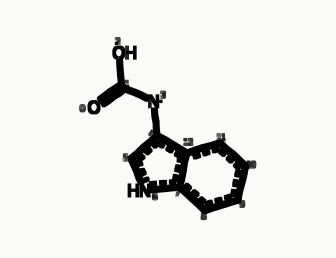 O=C(O)[N]c1c[nH]c2ccccc12